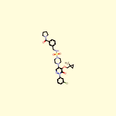 CC1(COc2c(N3CCN(S(=O)(=O)NCc4cccc(C(=O)N5CCCC5)c4)CC3)cnn(-c3cccc(Cl)c3)c2=O)CC1